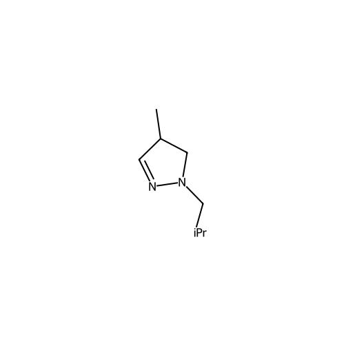 CC(C)CN1CC(C)C=N1